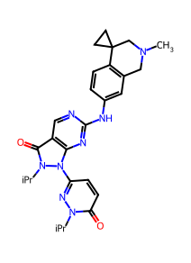 CC(C)n1nc(-n2c3nc(Nc4ccc5c(c4)CN(C)CC54CC4)ncc3c(=O)n2C(C)C)ccc1=O